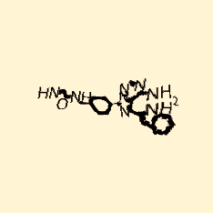 N=CC(=O)NC[C@H]1CC[C@H](c2nc(-c3cc4ccccc4[nH]3)c3c(N)ncnn32)CC1